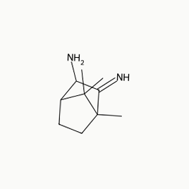 CC12CCC(C(N)C1=N)C2(C)C